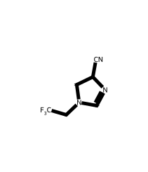 N#CC1[C]N(CC(F)(F)F)[C]=N1